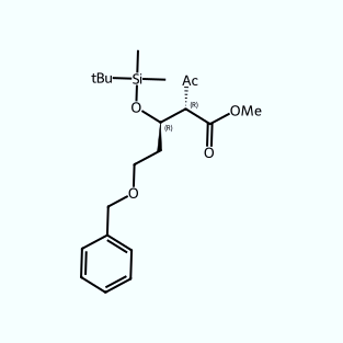 COC(=O)[C@@H](C(C)=O)[C@@H](CCOCc1ccccc1)O[Si](C)(C)C(C)(C)C